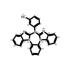 N#Cc1cccc(-n2c3nc4ccccc4n3c3ccccc3n3c4ccccc4nc23)c1